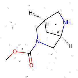 COC(=O)N1C[C@H]2CN[C@H](C2)C1